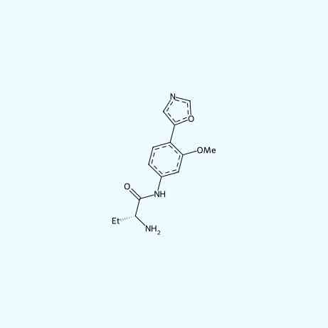 CC[C@@H](N)C(=O)Nc1ccc(-c2cnco2)c(OC)c1